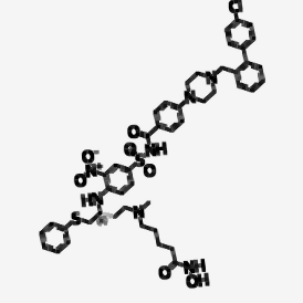 CN(CCCCC(=O)NO)CC[C@H](CSc1ccccc1)Nc1ccc(S(=O)(=O)NC(=O)c2ccc(N3CCN(Cc4ccccc4-c4ccc(Cl)cc4)CC3)cc2)cc1[N+](=O)[O-]